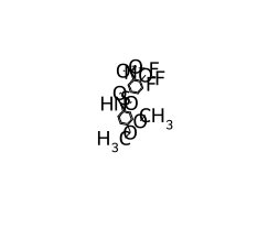 COc1ccc(NS(=O)(=O)c2ccc(OC(F)(F)F)c([N+](=O)[O-])c2)cc1OC